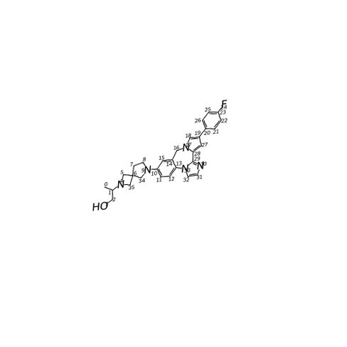 CC(CO)N1CC2(CCN(c3ccc4c(c3)Cn3cc(-c5ccc(F)cc5)cc3-c3nccn3-4)C2)C1